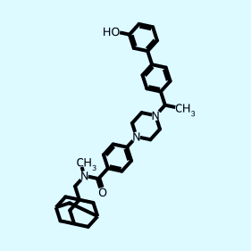 CC(c1ccc(-c2cccc(O)c2)cc1)N1CCN(c2ccc(C(=O)N(C)CC34CC5CC(CC(C5)C3)C4)cc2)CC1